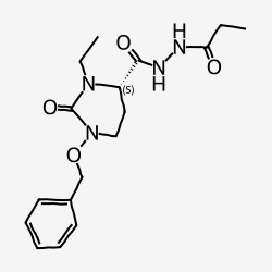 CCC(=O)NNC(=O)[C@@H]1CCN(OCc2ccccc2)C(=O)N1CC